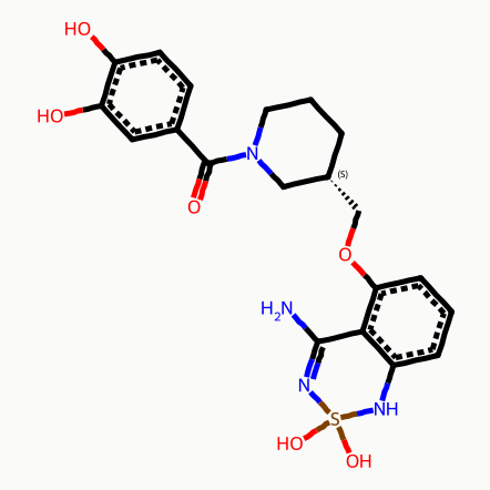 NC1=NS(O)(O)Nc2cccc(OC[C@H]3CCCN(C(=O)c4ccc(O)c(O)c4)C3)c21